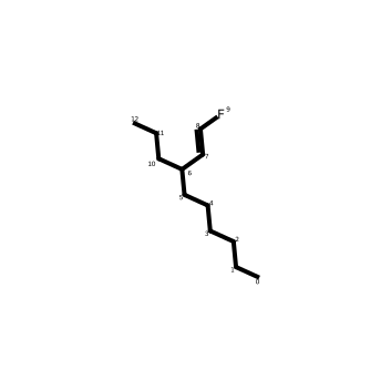 CCCCCCC(C=CF)CCC